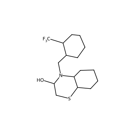 OC1CSC2CCCCC2N1CC1CCCCC1C(F)(F)F